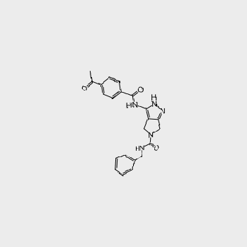 CC(=O)c1ccc(C(=O)Nc2[nH]nc3c2CN(C(=O)NCc2ccccc2)C3)cc1